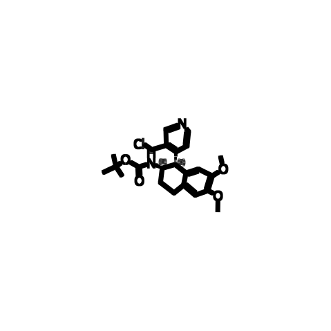 COc1cc2c(cc1OC)[C@@H](c1ccncc1CCl)[C@H](NC(=O)OC(C)(C)C)CC2